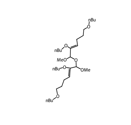 CCCCOCCCC=C(OCCCC)C(OC)OC(OC)C(=CCCCOCCCC)OCCCC